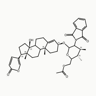 CC(=O)OCC1OC(O[C@@H]2C=C3CCC4C(CC[C@]5(C)[C@@H](c6ccc(=O)oc6)CC[C@]45O)[C@@]3(C)CC2)C(N2C(=O)c3ccccc3C2=O)[C@@H](C)[C@@H]1C